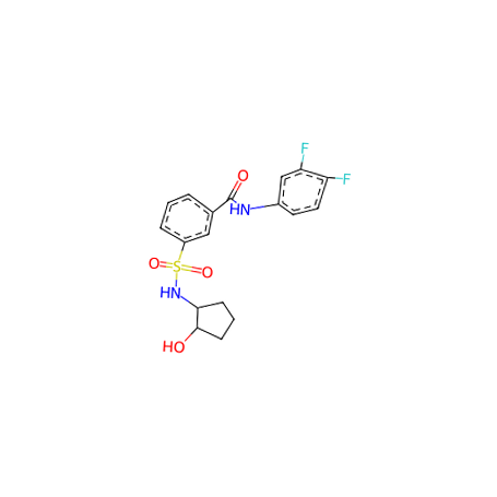 O=C(Nc1ccc(F)c(F)c1)c1cccc(S(=O)(=O)NC2CCCC2O)c1